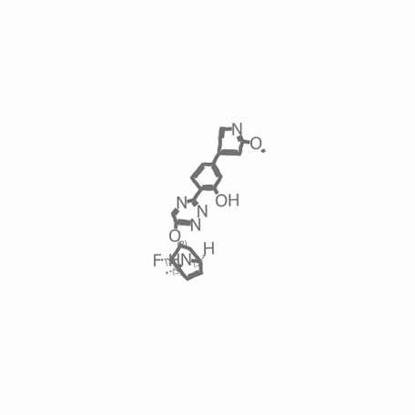 COc1cc(-c2ccc(-c3ncc(O[C@@H]4C[C@H]5C=C[C@](C)(N5)[C@@H]4F)nn3)c(O)c2)ccn1